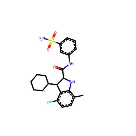 Cc1ccc(F)c2c1NC(C(=O)Nc1cccc(S(N)(=O)=O)c1)C2C1CCCCC1